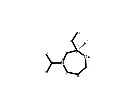 CC[C@]1(F)CN(C(C)C)CCCO1